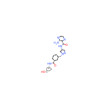 Nc1nccnc1C(=O)Nc1cnn(Cc2cccc(C(=O)N[C@@H]3CC[C@H](O)C3)c2)c1